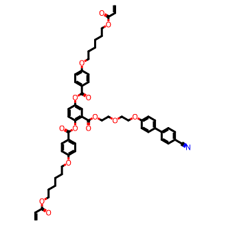 C=CC(=O)OCCCCCCOc1ccc(C(=O)Oc2ccc(OC(=O)c3ccc(OCCCCCCOC(=O)C=C)cc3)c(C(=O)OCCOCCOc3ccc(-c4ccc(C#N)cc4)cc3)c2)cc1